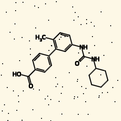 Cc1ccc(NC(=O)NC2CCCCC2)cc1-c1ccc(C(=O)O)cc1